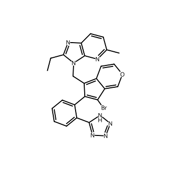 CCc1nc2ccc(C)nc2n1Cc1c2ccocc-2c(Br)c1-c1ccccc1-c1nnn[nH]1